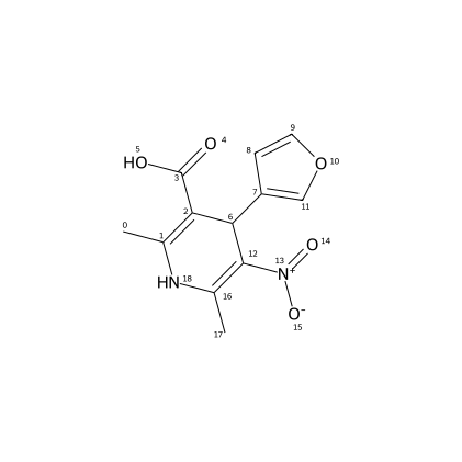 CC1=C(C(=O)O)C(c2ccoc2)C([N+](=O)[O-])=C(C)N1